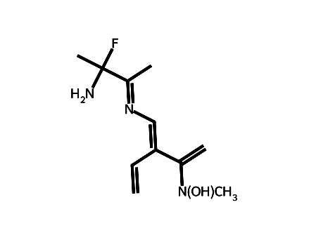 C=C/C(=C\N=C(/C)C(C)(N)F)C(=C)N(C)O